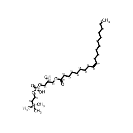 CCCCCCCCCC/C=C\CCCCCCCC(=O)OC[C@@H](O)COP(=O)(O)OCC[N+](C)(C)C